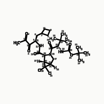 CC(=O)C(=O)[C@@H](CC1CCC1)NC(=O)[C@@H]1[C@@H]2[C@H](CN1C(=O)[C@@H](NC(=O)OC(C)(C)C)C(C)(C)C)C2(Cl)Cl